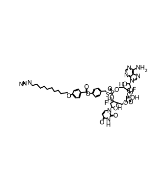 [N-]=[N+]=NCCCCCCCCCCOc1ccc(C(=O)Oc2ccc(CSP3(=O)OC[C@H]4O[C@@H](n5cnc6c(N)ncnc65)[C@H](F)[C@@H]4OP(=O)(O)OC[C@H]4O[C@@H](n5ccc(=O)[nH]c5=O)[C@H](F)[C@@H]4O3)cc2)cc1